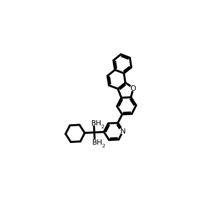 BC(B)(c1ccnc(-c2ccc3oc4c5ccccc5ccc4c3c2)c1)C1CCCCC1